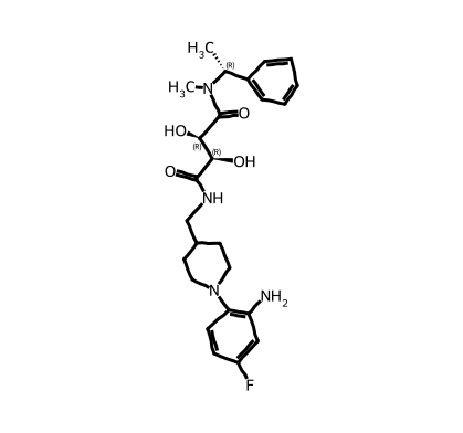 C[C@H](c1ccccc1)N(C)C(=O)[C@H](O)[C@@H](O)C(=O)NCC1CCN(c2ccc(F)cc2N)CC1